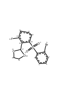 O=S(=O)(c1ccccc1Br)c1cccc(F)c1C1OCCO1